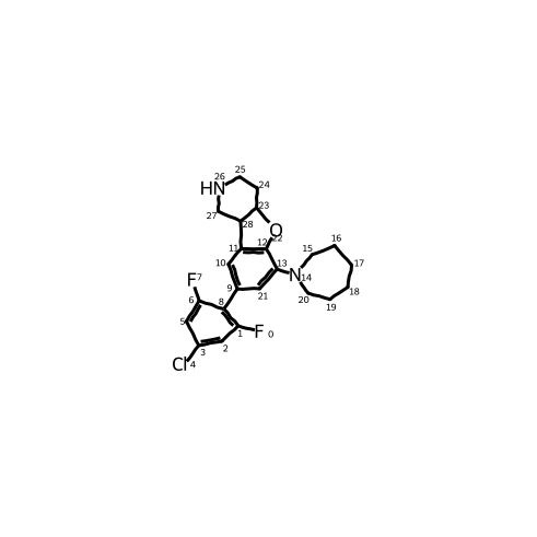 Fc1cc(Cl)cc(F)c1-c1cc2c(c(N3CCCCCC3)c1)OC1CCNCC21